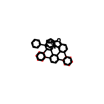 c1ccc(-c2ccc(-c3ccccc3)c(-c3c(-c4ccccc4)ccc4oc5ccccc5c34)c2-c2nnnc(-c3ccccc3)c2-c2ccccc2)cc1